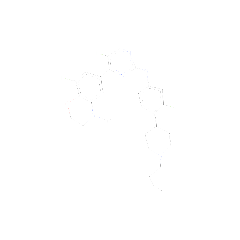 CC(C)N1CCOc2c(F)cc(-c3nc(Nc4ccc(C5CCN(CCC#N)CC5)c(F)c4)ncc3F)cc21